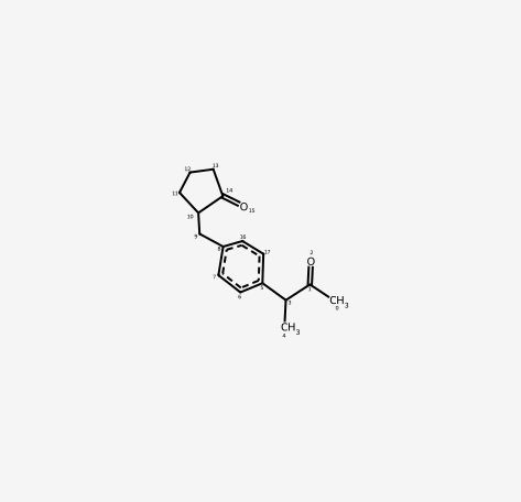 CC(=O)C(C)c1ccc(CC2CCCC2=O)cc1